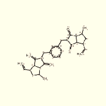 C=CC1CC(C)C2C(=C)N(Cc3cccc(CN4C(=O)C5C(C)CC(C=C)C5C4=O)c3)C(=C)C12